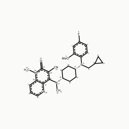 COc1cc(F)ccc1N(CC1CC1)[C@H]1CC[C@@H](N(C)c2c(C#N)c(=O)n(C)c3cccnc23)CC1